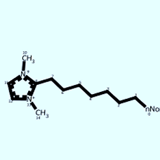 CCCCCCCCCCCCCCCCc1n(C)cc[n+]1C